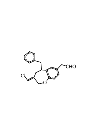 O=CCc1ccc2c(c1)C(Cc1ccccc1)CC(=CCl)CO2